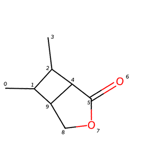 CC1C(C)C2C(=O)OCC12